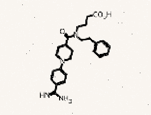 N=C(N)c1ccc(N2CCC(C(=O)N(CCCC(=O)O)CCc3ccccc3)CC2)cc1